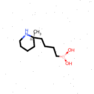 C[C@]1(CCCCB(O)O)CCCCN1